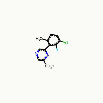 Cc1ccc(Cl)c(F)c1-c1cncc(C(=O)O)n1